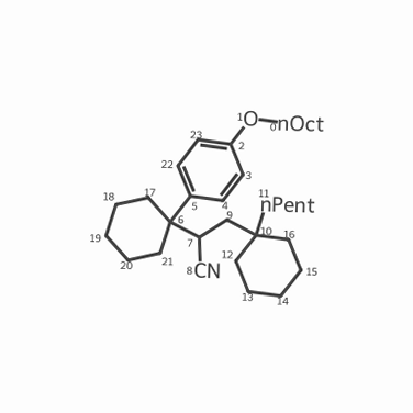 CCCCCCCCOc1ccc(C2(C(C#N)CC3(CCCCC)CCCCC3)CCCCC2)cc1